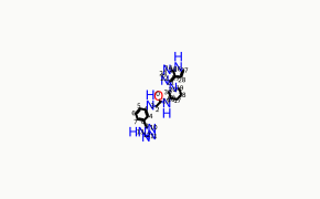 O=C(CNc1cccc(-c2nnn[nH]2)c1)N[C@@H]1CCCN(c2ncnc3[nH]ccc23)C1